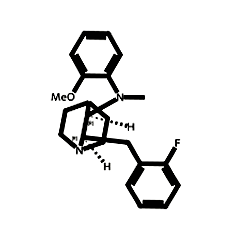 COc1ccccc1N(C)[C@@H]1C2CCN(CC2)[C@@H]1Cc1ccccc1F